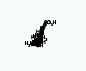 CC(C)(COP(=O)(O)OP(=O)(O)OC[C@H]1O[C@@H](n2cnc3c(N)ncnc32)[C@H](O)[C@@H]1OP(=O)(O)O)[C@@H](O)C(=O)NCCC(=O)NCCSC(=O)CCCCCCCC(=O)O